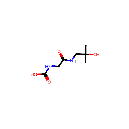 CC(C)(O)CNC(=O)CNC(=O)O